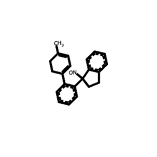 CC1=CC=C(c2ccccc2C2(N=O)CCc3ccccc32)CC1